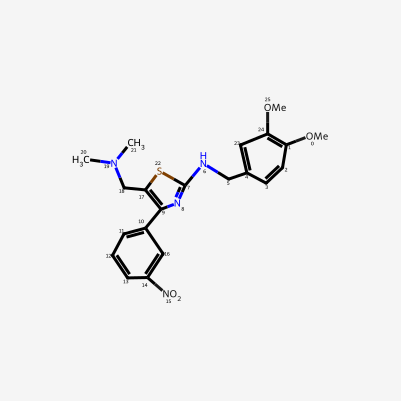 COc1ccc(CNc2nc(-c3cccc([N+](=O)[O-])c3)c(CN(C)C)s2)cc1OC